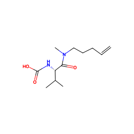 C=CCCCN(C)C(=O)[C@@H](NC(=O)O)C(C)C